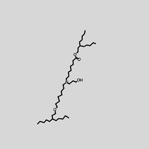 CCCCCC(CCCCC)CCOCCCCCCCCN(CCCO)CCCCCCCC(=O)OCCC(CCCCC)CCCCC